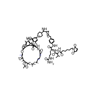 CO[C@H]1/C=C/O[C@@]2(C)Oc3c(C)c(O)c4c(=O)c(c5oc6cc(N7CCC(C(=N)C8CN8OCc8ccc(NC(=O)[C@H](CCCNC(N)=O)NC(=O)[C@@H](NC(=O)CCCCCN9C(=O)C=CC9=O)C(C)C)cc8)CC7)cc(O)c6nc-5c4c3C2=O)NC(=O)/C(C)=C\C=C\[C@H](C)C[C@@H](C)C[C@@H](C)[C@H](OC(C)=O)[C@@H]1C